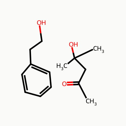 CC(=O)CC(C)(C)O.OCCc1ccccc1